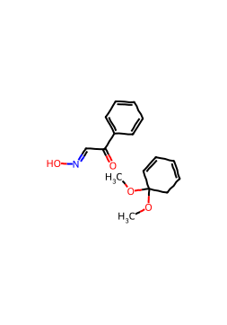 COC1(OC)C=CC=CC1.O=C(C=NO)c1ccccc1